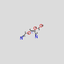 N#CCO/C=C(\C#N)OC=O